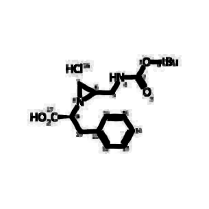 CC(C)(C)OC(=O)NCC1CN1[C@@H](Cc1ccccc1)C(=O)O.Cl